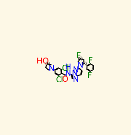 O=C(Nc1cnc2ccc(N3C[C@@H](F)C[C@@H]3c3cc(F)ccc3F)nn12)c1c(Cl)cc(N2CC[C@H](O)C2)cc1Cl